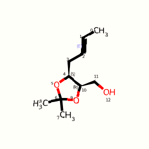 C/C=C/C[C@@H]1OC(C)(C)O[C@@H]1CO